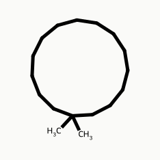 CC1(C)CCCCCCCCCCCCCC1